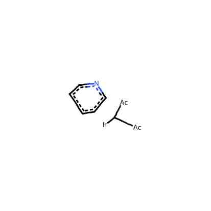 CC(=O)[CH]([Ir])C(C)=O.c1ccncc1